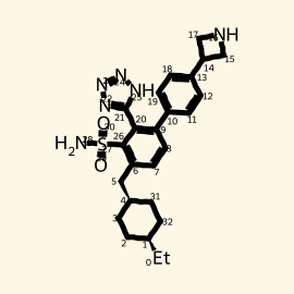 CC[C@H]1CC[C@@H](Cc2ccc(-c3ccc(C4CNC4)cc3)c(-c3nnn[nH]3)c2S(N)(=O)=O)CC1